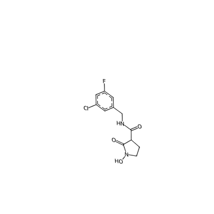 O=C(NCc1cc(F)cc(Cl)c1)C1CCN(O)C1=O